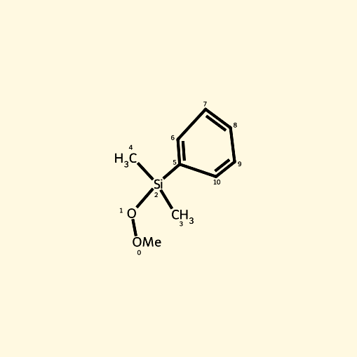 COO[Si](C)(C)c1ccccc1